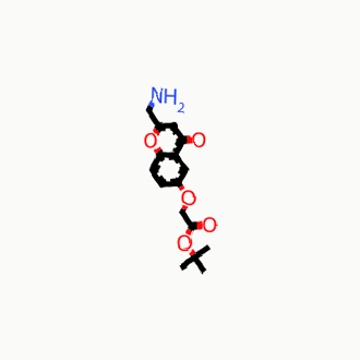 CC(C)(C)OC(=O)COc1ccc2oc(CN)cc(=O)c2c1